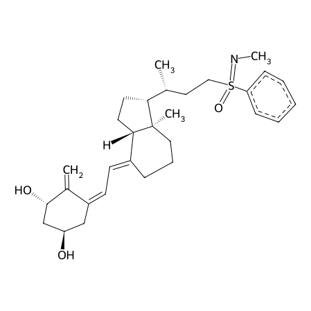 C=C1/C(=C\C=C2/CCC[C@]3(C)[C@@H]([C@H](C)CCS(=O)(=NC)c4ccccc4)CC[C@@H]23)C[C@@H](O)C[C@@H]1O